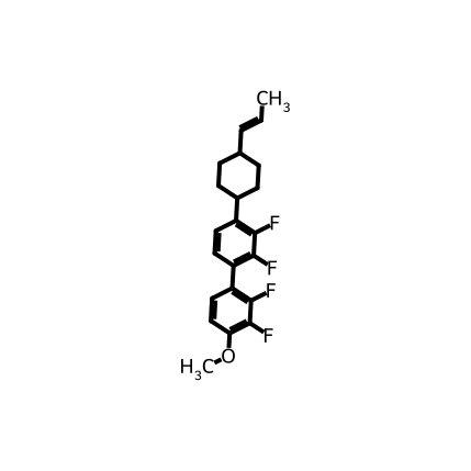 C/C=C/C1CCC(c2ccc(-c3ccc(OC)c(F)c3F)c(F)c2F)CC1